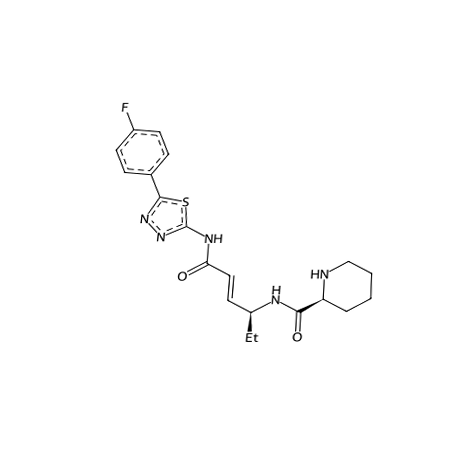 CC[C@@H](/C=C/C(=O)Nc1nnc(-c2ccc(F)cc2)s1)NC(=O)[C@@H]1CCCCN1